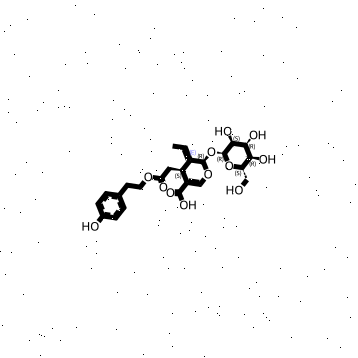 C/C=C1/[C@@H](O[C@H]2O[C@@H](CO)[C@H](O)[C@@H](O)[C@@H]2O)OC=C(C(=O)O)[C@H]1CC(=O)OCCc1ccc(O)cc1